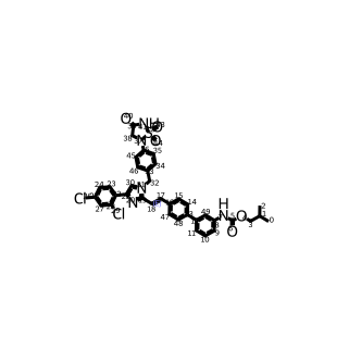 CC(C)COC(=O)Nc1cccc(-c2ccc(/C=C/c3nc(-c4ccc(Cl)cc4Cl)cn3Cc3ccc(N4CC(=O)NS4(=O)=O)cc3)cc2)c1